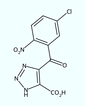 O=C(c1cc(Cl)ccc1[N+](=O)[O-])c1nn[nH]c1C(=O)O